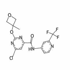 CC1(Oc2nc(Cl)cc(C(=O)Nc3ccnc(C(F)(F)F)c3)n2)COC1